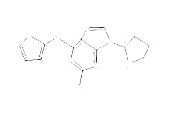 Clc1nc(Nc2cccs2)c2ncn(C3CCCO3)c2n1